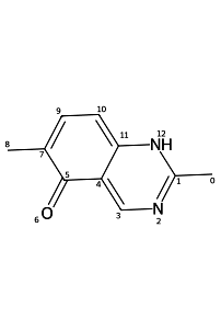 Cc1ncc2c(=O)c(C)ccc-2[nH]1